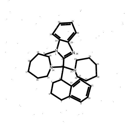 Cn1c(C(C2CCCc3ccccc32)(N2CCCCCC2)N2CCCCCC2)nc2ccccc21